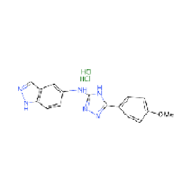 COc1ccc(-c2nnc(Nc3ccc4[nH]ncc4c3)[nH]2)cc1.Cl.Cl